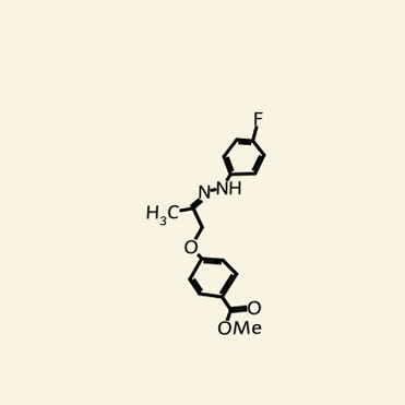 COC(=O)c1ccc(OC/C(C)=N\Nc2ccc(F)cc2)cc1